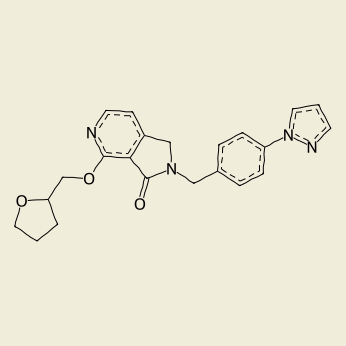 O=C1c2c(ccnc2OCC2CCCO2)CN1Cc1ccc(-n2cccn2)cc1